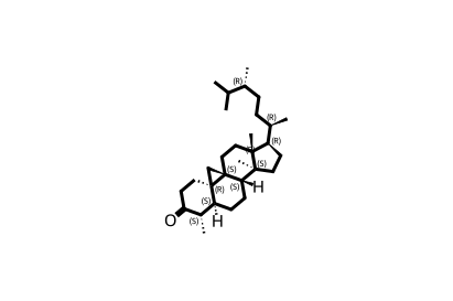 CC(C)[C@H](C)CC[C@@H](C)[C@H]1CC[C@@]2(C)[C@@H]3CC[C@H]4[C@H](C)C(=O)CC[C@@]45C[C@@]35CC[C@]12C